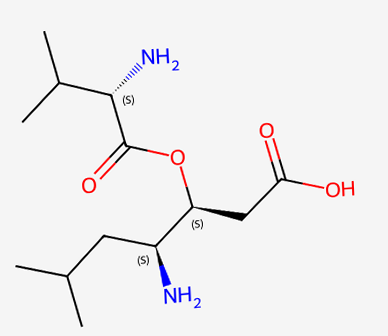 CC(C)C[C@H](N)[C@H](CC(=O)O)OC(=O)[C@@H](N)C(C)C